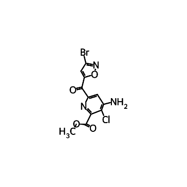 COC(=O)c1nc(C(=O)c2cc(Br)no2)cc(N)c1Cl